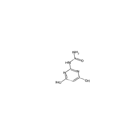 NC(=O)Nc1nc(O)cc(O)n1